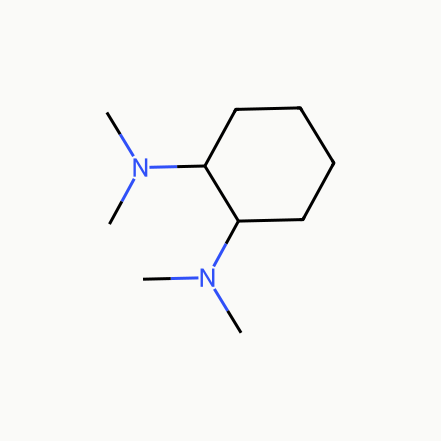 CN(C)C1CCCCC1N(C)C